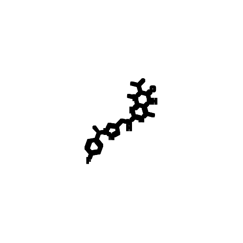 Cc1nc(NCc2cnn([C@H](C)c3ccc(F)cc3)c2)nc2c1NC(=O)C(C(C)C)N2C